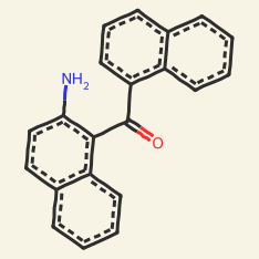 Nc1ccc2ccccc2c1C(=O)c1cccc2ccccc12